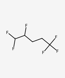 F[C](F)C(F)CCC(F)(F)F